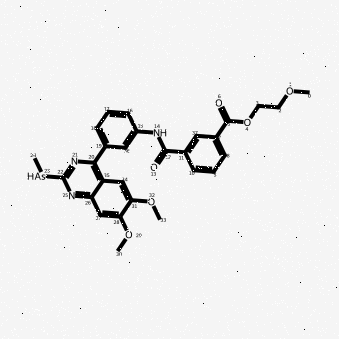 COCCOC(=O)c1cccc(C(=O)Nc2cccc(-c3nc([AsH]C)nc4cc(OC)c(OC)cc34)c2)c1